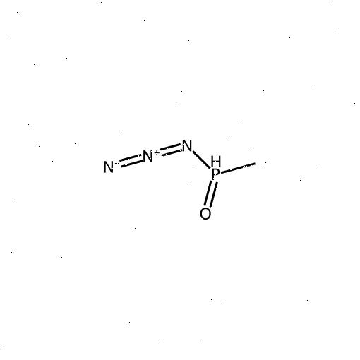 C[PH](=O)N=[N+]=[N-]